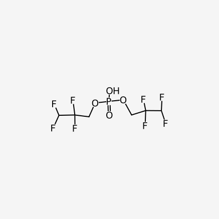 O=P(O)(OCC(F)(F)C(F)F)OCC(F)(F)C(F)F